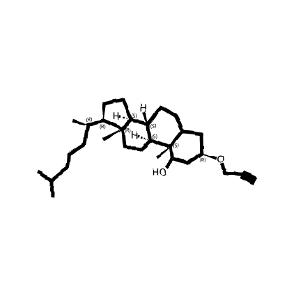 C#CCO[C@H]1CC(O)[C@@]2(C)C(CC[C@@H]3[C@@H]2CC[C@]2(C)[C@@H]([C@H](C)CCCC(C)C)CC[C@@H]32)C1